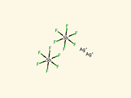 [Ag+].[Ag+].[F][Sb-]([F])([F])([F])([F])[F].[F][Sb-]([F])([F])([F])([F])[F]